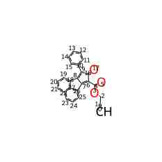 C#CCOC(=O)C1=C2C(=C(c3ccccc3)C1=O)c1cccc3cccc2c13